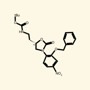 CC(C)(C)OC(=O)NCC[C@H]1CN(c2ccc([N+](=O)[O-])cc2OCc2ccccc2)C(=O)O1